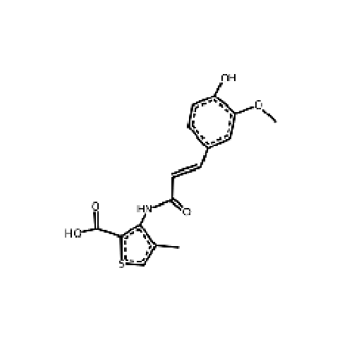 COc1cc(/C=C/C(=O)Nc2c(C)csc2C(=O)O)ccc1O